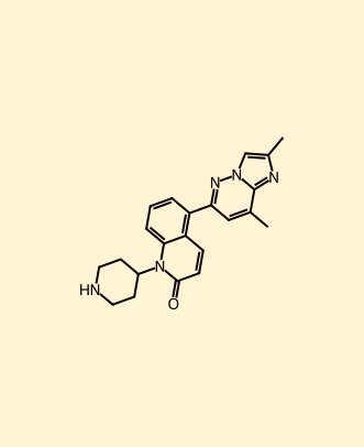 Cc1cn2nc(-c3cccc4c3ccc(=O)n4C3CCNCC3)cc(C)c2n1